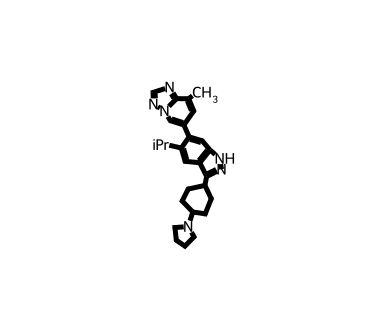 Cc1cc(-c2cc3[nH]nc(C4CCC(N5CCCC5)CC4)c3cc2C(C)C)cn2ncnc12